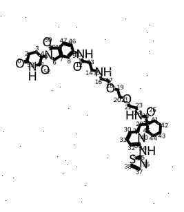 O=C1CCC(N2Cc3cc(NC(=O)CCNCCOCCOCCNC(=O)C4(Cc5cccc(Nc6nccs6)n5)CCCCC4)ccc3C2=O)C(=O)N1